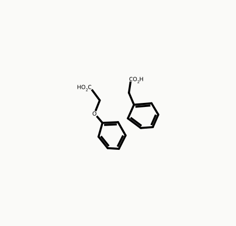 O=C(O)COc1ccccc1.O=C(O)Cc1ccccc1